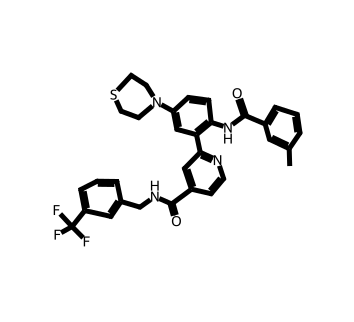 Cc1cccc(C(=O)Nc2ccc(N3CCSCC3)cc2-c2cc(C(=O)NCc3cccc(C(F)(F)F)c3)ccn2)c1